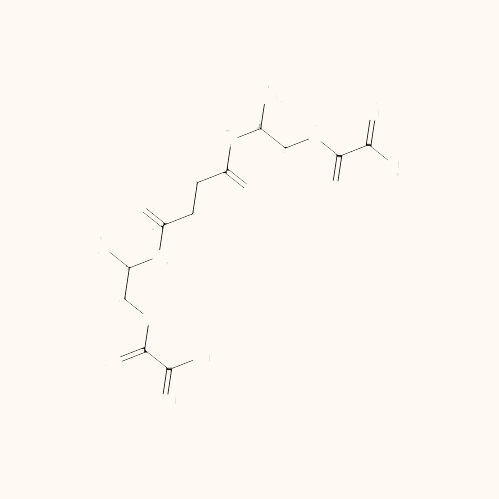 C=C(C)C(=O)OCC(C)OC(=O)CCC(=O)OC(C)COC(=O)C(=C)C